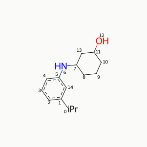 CC(C)c1cccc(NC2CCCC(O)C2)c1